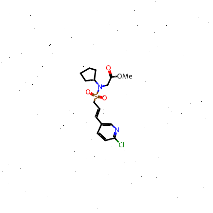 COC(=O)CN(C1CCCC1)S(=O)(=O)CC=Cc1ccc(Cl)nc1